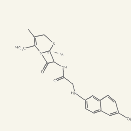 CC1=C(C(=O)O)N2C(=O)C(NC(=O)CNc3ccc4cc(O)ccc4c3)[C@@H]2SC1